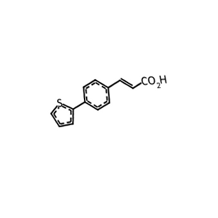 O=C(O)/C=C/c1ccc(-c2cccs2)cc1